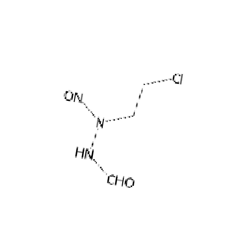 O=CNN(CCCl)N=O